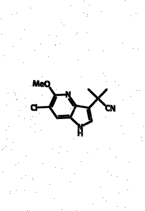 COc1nc2c(C(C)(C)C#N)c[nH]c2cc1Cl